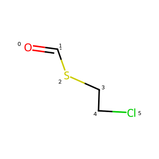 O=[C]SCCCl